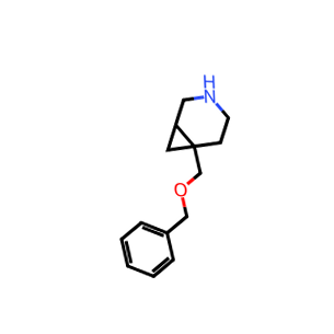 c1ccc(COCC23CCNCC2C3)cc1